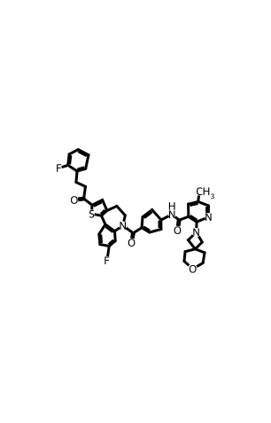 Cc1cnc(N2CC3(CCOCC3)C2)c(C(=O)Nc2ccc(C(=O)N3CCc4cc(C(=O)CCc5ccccc5F)sc4-c4ccc(F)cc43)cc2)c1